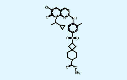 Cc1cc(S(=O)(=O)C2CC3(CCN(C(=O)OC(C)(C)C)CC3)C2)ccc1Nc1ncc2cc(Cl)c(=O)n(C(C)C3CC3)c2n1